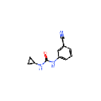 N#Cc1cccc(NC(=O)N[C]2CC2)c1